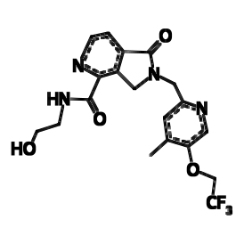 Cc1cc(CN2Cc3c(ccnc3C(=O)NCCO)C2=O)ncc1OCC(F)(F)F